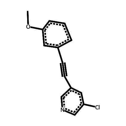 COc1cccc(C#Cc2cncc(Cl)c2)c1